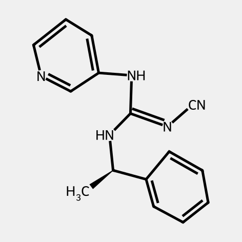 C[C@@H](N/C(=N/C#N)Nc1cccnc1)c1ccccc1